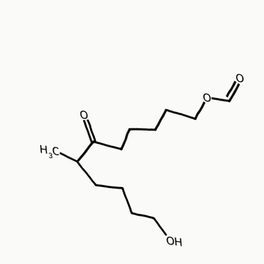 CC(CCCCO)C(=O)CCCCCOC=O